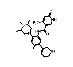 CC1CN(c2cc(F)c(C3=CCCNC3)cc2NC(=O)c2c[nH]c(=O)cc2C(F)(F)F)CC(C)N1C